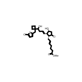 COC(=O)CCC/C=C/C[C@H]1C(Cl)C[C@@H](O)[C@@H]1/C=C/CC(O)C1(Cc2ccc(Cl)s2)CCC1